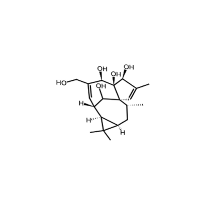 CC1=C[C@]23C(O)[C@@H](C=C(CO)[C@@H](O)[C@]2(O)[C@H]1O)[C@H]1[C@@H](C[C@H]3C)C1(C)C